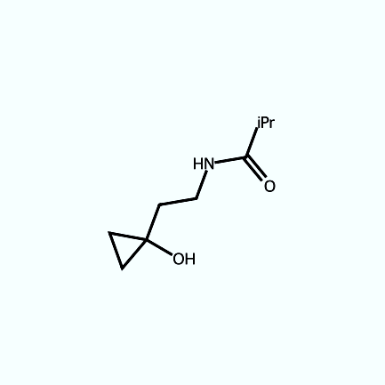 CC(C)C(=O)NCCC1(O)CC1